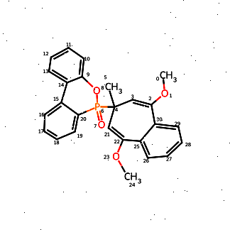 COC1=CC(C)(P2(=O)Oc3ccccc3-c3ccccc32)C=C(OC)c2ccccc21